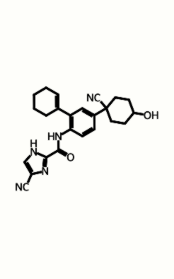 N#Cc1c[nH]c(C(=O)Nc2ccc(C3(C#N)CCC(O)CC3)cc2C2=CCCCC2)n1